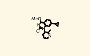 COc1nc(=O)n(-c2cccnc2C)c2cc(C3CC3)ccc12